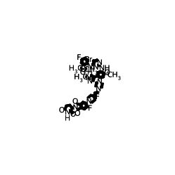 COc1cc(N2CCN(CCC3(F)CCN(c4cc5c(cc4F)C(=O)N(C4CCC(=O)NC4=O)C5=O)CC3)CC2)c(-c2cnn(C)c2)cc1Nc1ncc(Br)c(Nc2ccc(F)cc2P(C)(C)=O)n1